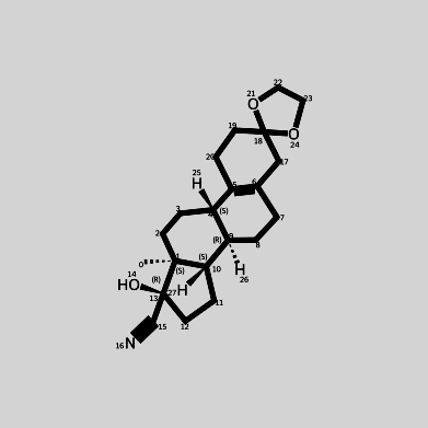 C[C@]12CC[C@@H]3C4=C(CC[C@H]3[C@@H]1CC[C@]2(O)C#N)CC1(CC4)OCCO1